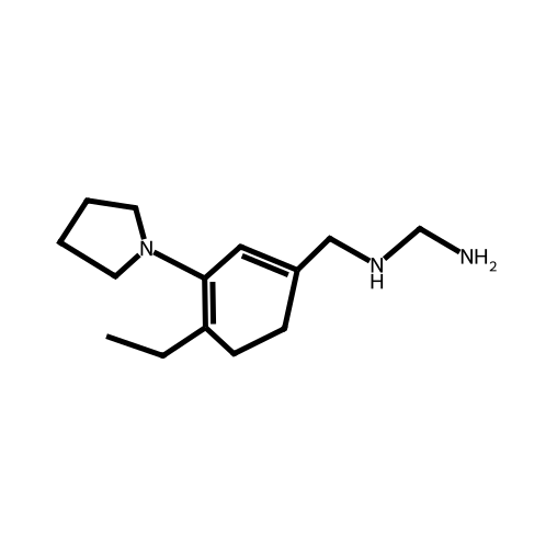 CCC1=C(N2CCCC2)C=C(CNCN)CC1